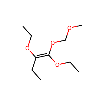 CCOC(CC)=C(OCC)OCOC